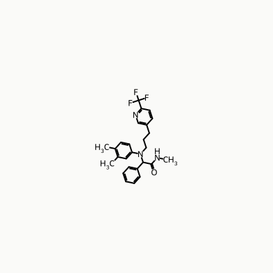 CNC(=O)C(c1ccccc1)N(CCCc1ccc(C(F)(F)F)nc1)c1ccc(C)c(C)c1